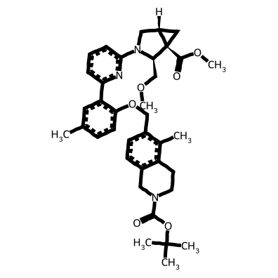 COC[C@H]1N(c2cccc(-c3cc(C)ccc3OCc3ccc4c(c3C)CCN(C(=O)OC(C)(C)C)C4)n2)C[C@@H]2C[C@@]21C(=O)OC